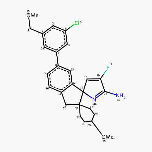 COCc1cc(Cl)cc(-c2ccc3c(c2)C2(C=C(F)C(N)=N2)C2(CCC(OC)CC2)C3)c1